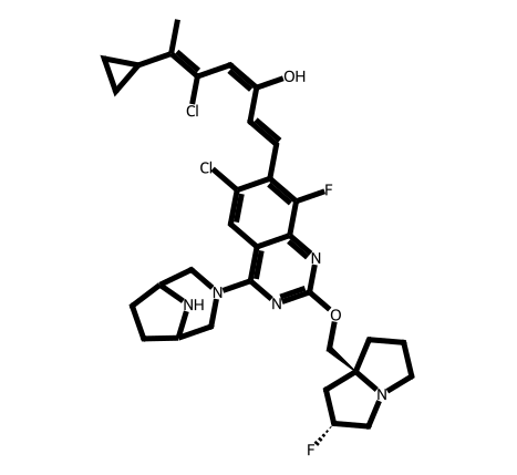 C\C(=C(Cl)/C=C(O)\C=C\c1c(Cl)cc2c(N3CC4CCC(C3)N4)nc(OC[C@@]34CCCN3C[C@H](F)C4)nc2c1F)C1CC1